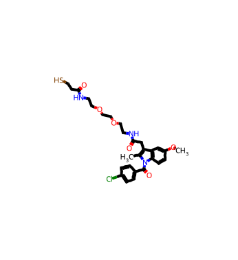 COc1ccc2c(c1)c(CC(=O)NCCOCCOCCNC(=O)CCS)c(C)n2C(=O)c1ccc(Cl)cc1